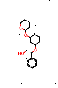 OC[C@H](OC1CCCC(OC2CCCCO2)C1)c1ccccc1